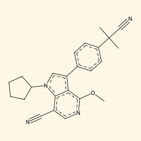 COc1ncc(C#N)c2c1c(-c1ccc(C(C)(C)C#N)cc1)cn2C1CCCC1